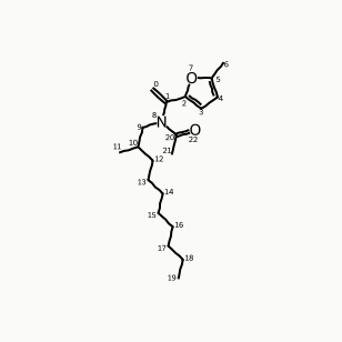 C=C(c1ccc(C)o1)N(CC(C)CCCCCCCC)C(C)=O